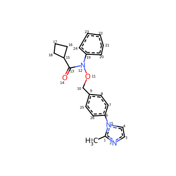 Cc1nccn1-c1ccc(CON(C(=O)C2CCC2)c2ccccc2)cc1